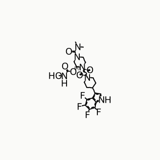 CN(C)C(=O)N1CCN(S(=O)(=O)N2CCC(c3c[nH]c4c(F)c(F)c(F)c(F)c34)CC2)[C@H](OC(=O)NO)C1